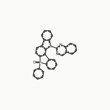 O=P1(c2ccccc2)c2ccccc2-c2c1ccc1c3ccccc3n(-c3ncc4ccccc4n3)c21